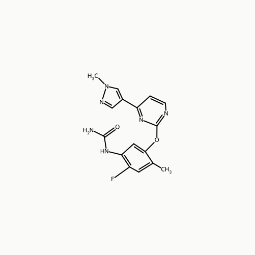 Cc1cc(F)c(NC(N)=O)cc1Oc1nccc(-c2cnn(C)c2)n1